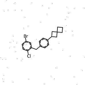 Clc1ccc(Br)cc1Cc1ccc(C2CC3(CCC3)C2)cc1